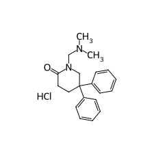 CN(C)CN1CC(c2ccccc2)(c2ccccc2)CCC1=O.Cl